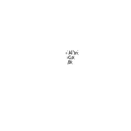 [Al].[Bi].[Ga].[In]